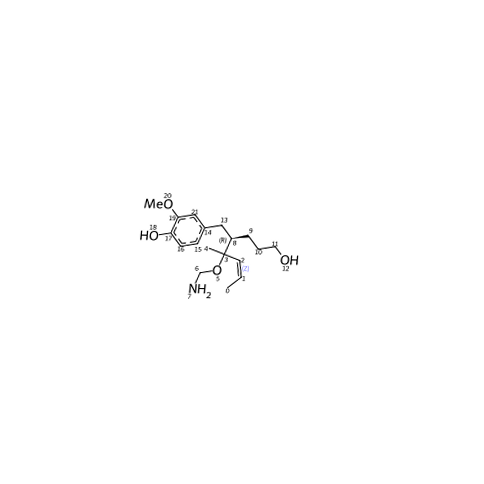 C/C=C\C(C)(OCN)[C@H](CCCO)Cc1ccc(O)c(OC)c1